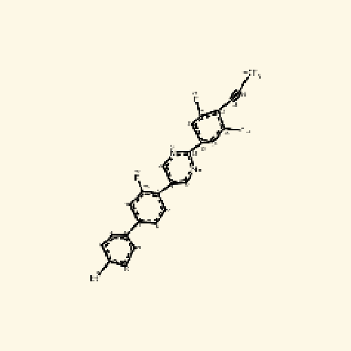 CCc1ccc(-c2ccc(-c3cnc(-c4cc(F)c(C#CC(F)(F)F)c(F)c4)nc3)c(F)c2)cc1